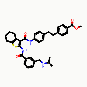 COC(=O)c1ccc(CCc2ccc(NC(=O)c3c(NC(=O)c4cccc(CNC(C)C)c4)sc4c3CCCC4)cc2)cc1